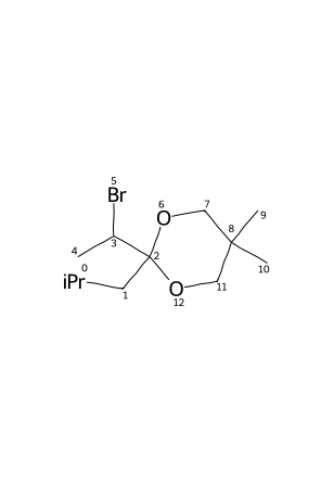 CC(C)CC1(C(C)Br)OCC(C)(C)CO1